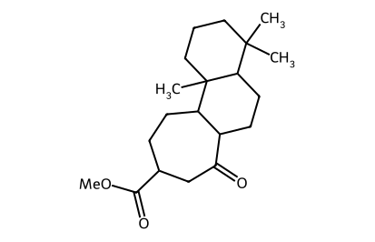 COC(=O)C1CCC2C(CCC3C(C)(C)CCCC23C)C(=O)C1